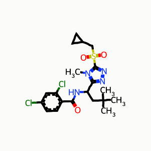 Cn1c(C(CC(C)(C)C)NC(=O)c2ccc(Cl)cc2Cl)nnc1S(=O)(=O)CC1CC1